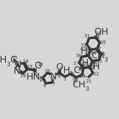 C[C@H](CCC(=O)N1CC[C@H](NC(=O)c2cnn(C)c2)C1)[C@H]1CC[C@H]2[C@@H]3CC=C4C[C@@H](O)CC[C@]4(C)[C@H]3CC[C@]12C